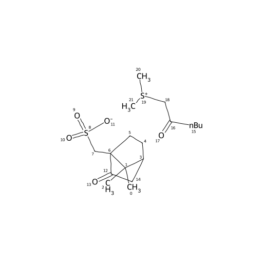 CC1(C)C2CCC1(CS(=O)(=O)[O-])C(=O)C2.CCCCC(=O)C[S+](C)C